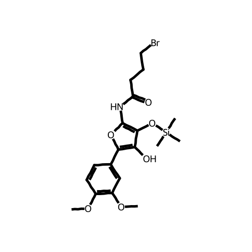 COc1ccc(-c2oc(NC(=O)CCCBr)c(O[Si](C)(C)C)c2O)cc1OC